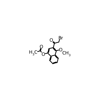 COc1c(C(=O)CBr)cc(OC(C)=O)c2ccccc12